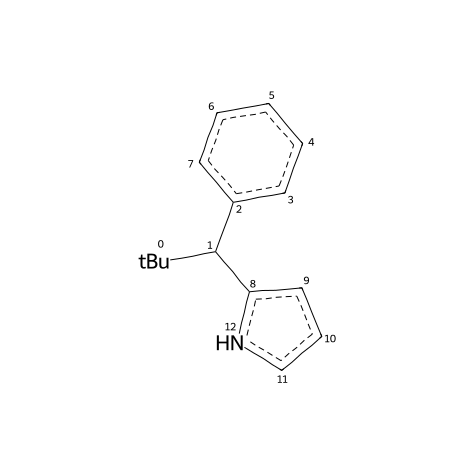 CC(C)(C)C(c1ccccc1)c1ccc[nH]1